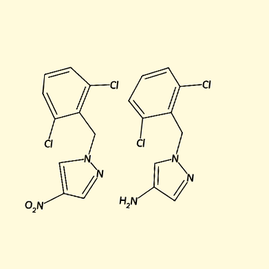 Nc1cnn(Cc2c(Cl)cccc2Cl)c1.O=[N+]([O-])c1cnn(Cc2c(Cl)cccc2Cl)c1